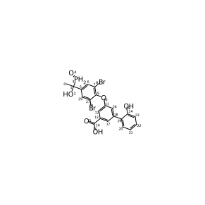 CC(O)([PH2]=O)c1cc(Br)c(Oc2cc(C(=O)O)cc(-c3ccccc3O)c2)c(Br)c1